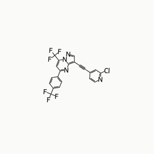 FC(F)(F)c1ccc(-c2cc(C(F)(F)F)n3ncc(C#Cc4ccnc(Cl)c4)c3n2)cc1